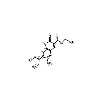 CCOC(=O)c1cc2cc(N)c(N(CC)CC)cc2oc1=O